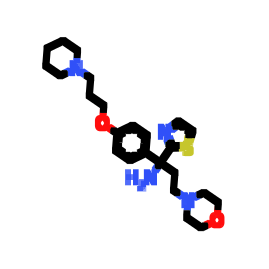 NC(CCN1CCOCC1)(c1ccc(OCCCN2CCCCC2)cc1)c1nccs1